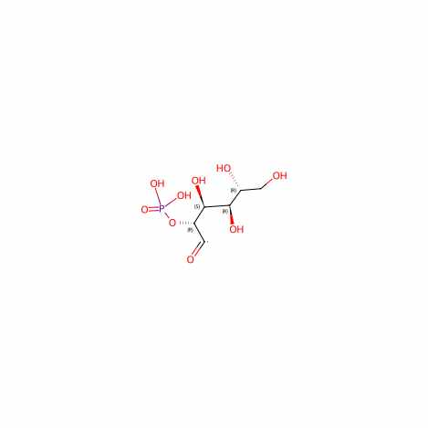 O=[C][C@H](OP(=O)(O)O)[C@@H](O)[C@H](O)[C@H](O)CO